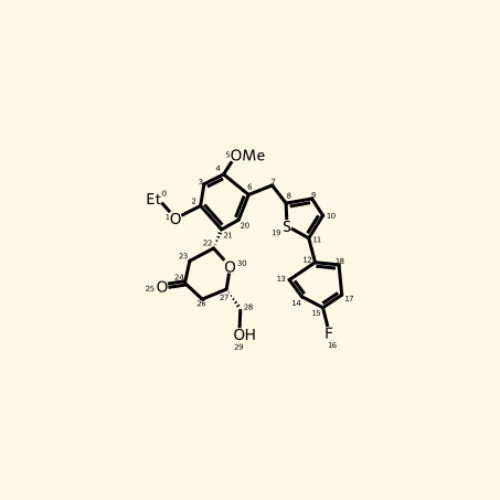 CCOc1cc(OC)c(Cc2ccc(-c3ccc(F)cc3)s2)cc1[C@H]1CC(=O)C[C@@H](CO)O1